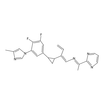 C=C/C(=C\N=C(/C)c1ncccn1)C1CC1c1cc(F)c(F)c(-n2cnc(C)c2)c1